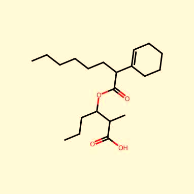 CCCCCCC(C(=O)OC(CCC)C(C)C(=O)O)C1=CCCCC1